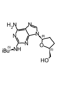 CC[C@H](C)Nc1nc(N)c2ncn([C@H]3CC[C@@H](CO)O3)c2n1